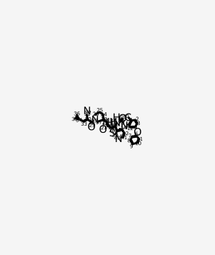 Cc1ccc(Oc2ccccc2)cc1N1C(=O)Nc2c(C(=O)NC3CCCN(C(=O)C(C#N)=CC4CC4)C3)sc3nccc1c23